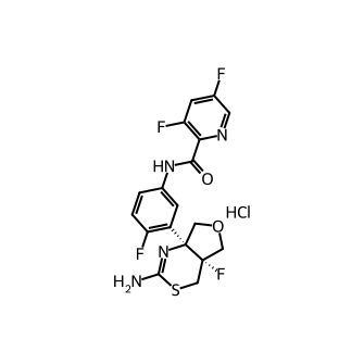 Cl.NC1=N[C@@]2(c3cc(NC(=O)c4ncc(F)cc4F)ccc3F)COC[C@@]2(F)CS1